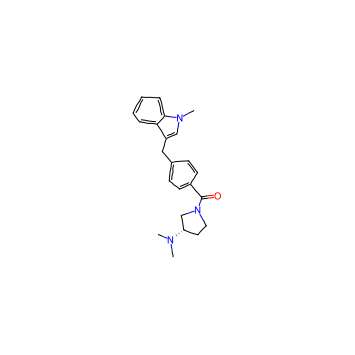 CN(C)[C@H]1CCN(C(=O)c2ccc(Cc3cn(C)c4ccccc34)cc2)C1